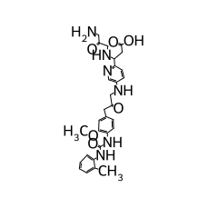 COc1cc(CC(=O)CNc2ccc(C(CC(=O)O)NCC(=O)CN)nc2)ccc1NC(=O)Nc1ccccc1C